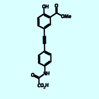 COC(=O)c1cc(C#Cc2ccc(NC(=O)C(=O)O)cc2)ccc1O